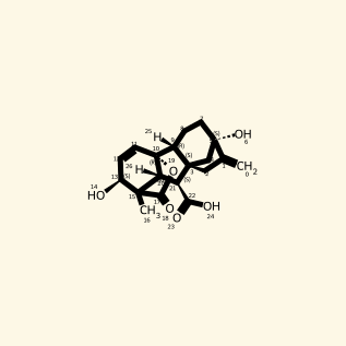 C=C1C[C@]23C[C@@]1(O)CC[C@H]2[C@@]12C=C[C@H](O)C(C)(C(=O)O1)[C@H]2[C@@H]3C(=O)O